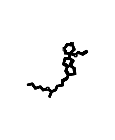 C=CCOC1(c2ccc3cc(C=CCCCC(C)OCCCCC)ccc3c2)C=NC=NC1